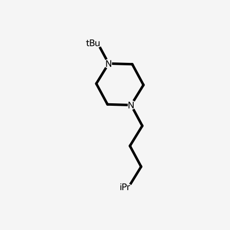 CC(C)CCCN1CCN(C(C)(C)C)CC1